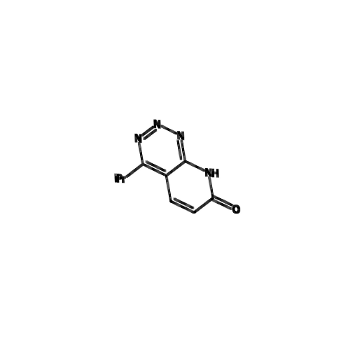 CC(C)c1nnnc2[nH]c(=O)ccc12